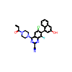 C=CC(=O)N1CCN(c2nc(C#N)nc3c(F)c(-c4cc(O)cc5ccccc45)c(Cl)cc23)CC1